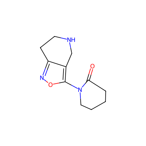 O=C1CCCCN1c1onc2c1CNCC2